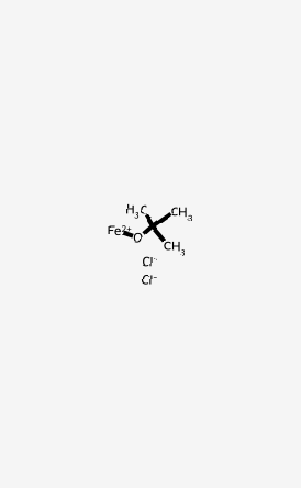 CC(C)(C)[O][Fe+2].[Cl-].[Cl-]